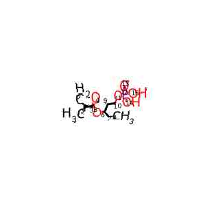 C=C(C)C(=O)OC(CC)CCOP(=O)(O)O